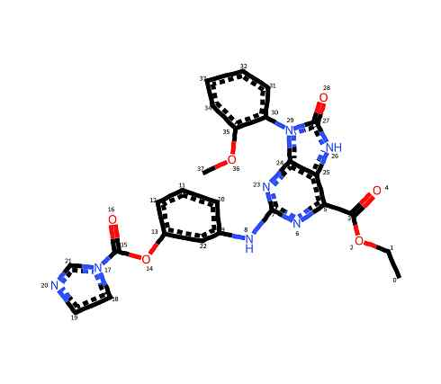 CCOC(=O)c1nc(Nc2cccc(OC(=O)n3ccnc3)c2)nc2c1[nH]c(=O)n2-c1ccccc1OC